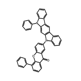 O=c1c2cc(-n3c4ccccc4c4cc5c6ccccc6n(-c6ccccc6)c5cc43)ccc2oc2c(-c3ccccc3)cccc12